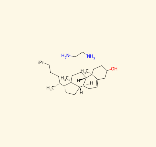 CC(C)CCC[C@@H](C)[C@H]1CC[C@H]2[C@@H]3CC=C4CC(O)CC[C@]4(C)[C@H]3CC[C@]12C.NCCN